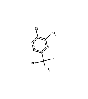 CCCC(C)(CC)c1ccc(CC)c(C)n1